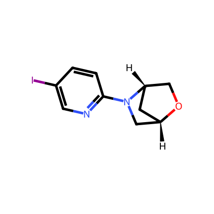 Ic1ccc(N2C[C@@H]3C[C@H]2CO3)nc1